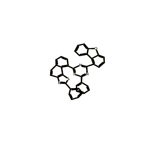 c1ccc(-c2nc(-c3cccc4oc5ccccc5c34)nc(-c3cccc4ccc5nc(-c6ccccc6)sc5c34)n2)cc1